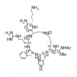 CCCC[C@H](NC(C)=O)C(=O)N[C@H]1CCC(=O)NCCC(C(=O)N[C@@H](CCCCN)C(N)=O)NC(=O)[C@H](CCCNC(=N)N)NC(=O)[C@@H](Cc2ccccc2)NC(=O)[C@H](Cc2c[nH]cn2)NC1=O